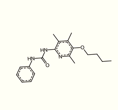 CCCCOc1c(C)nc(NC(=O)Nc2ccccc2)c(C)c1C